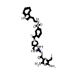 Nc1nc(N)c(C(=O)/N=C2\NCC3(CCN(C(=O)c4cccc(S(=O)(=O)NCCc5c[nH]c6ccccc56)c4)CC3)N2)nc1CI